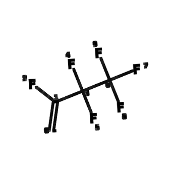 [CH]=C(F)C(F)(F)C(F)(F)F